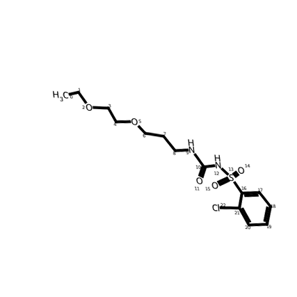 CCOCCOCCCNC(=O)NS(=O)(=O)c1ccccc1Cl